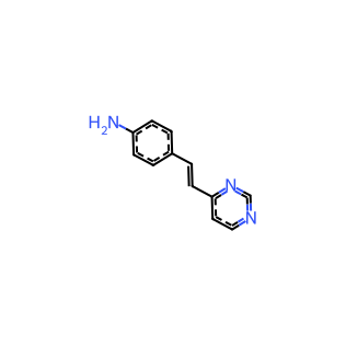 Nc1ccc(C=Cc2ccncn2)cc1